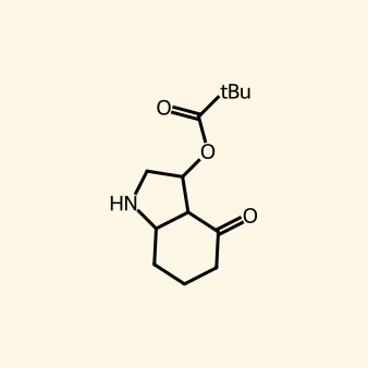 CC(C)(C)C(=O)OC1CNC2CCCC(=O)C21